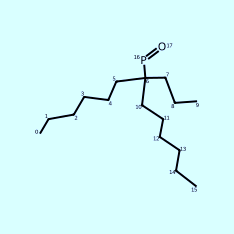 CCCCCCC(CCC)(CCCCCC)P=O